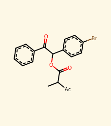 CC(=O)C(C)C(=O)OC(C(=O)c1ccccc1)c1ccc(Br)cc1